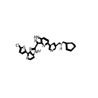 Clc1ccc(-c2nccc3[nH]c(-c4n[nH]c5ccc(-c6cncc(CNCC7CCCC7)c6)nc45)nc23)s1